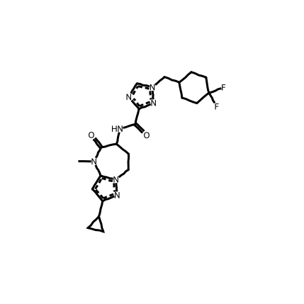 CN1C(=O)C(NC(=O)c2ncn(CC3CCC(F)(F)CC3)n2)CCn2nc(C3CC3)cc21